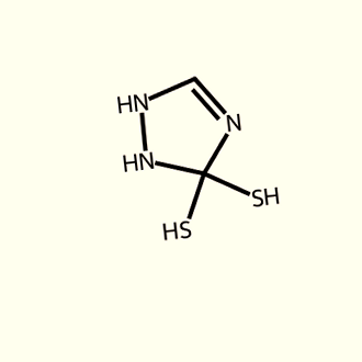 SC1(S)N=CNN1